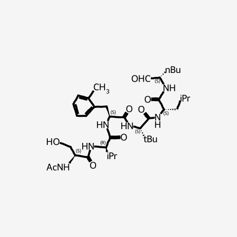 CCCC[C@@H](C=O)NC(=O)[C@H](CC(C)C)NC(=O)[C@@H](NC(=O)[C@H](Cc1ccccc1C)NC(=O)[C@H](NC(=O)[C@H](CO)NC(C)=O)C(C)C)C(C)(C)C